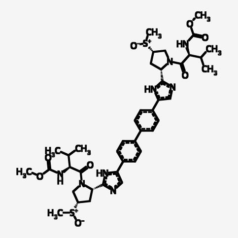 COC(=O)N[C@H](C(=O)N1C[C@@H]([S+](C)[O-])C[C@H]1c1ncc(-c2ccc(-c3ccc(-c4cnc([C@@H]5C[C@H]([S+](C)[O-])CN5C(=O)[C@@H](NC(=O)OC)C(C)C)[nH]4)cc3)cc2)[nH]1)C(C)C